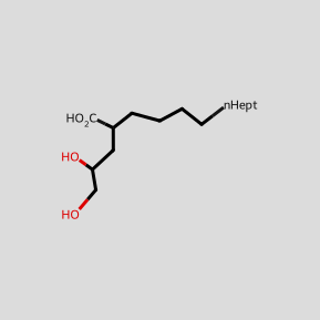 CCCCCCCCCCCC(CC(O)CO)C(=O)O